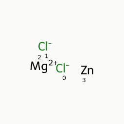 [Cl-].[Cl-].[Mg+2].[Zn]